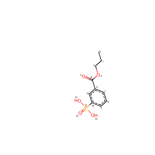 CCCOC(=O)c1cccc(P(=O)(O)O)c1